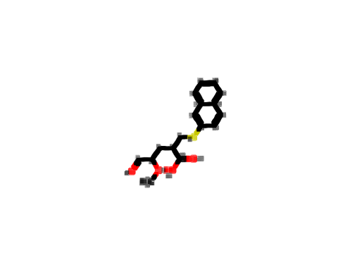 COC(C=O)CC(CSc1ccc2ccccc2c1)C(=O)O